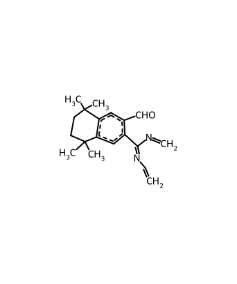 C=C/N=C(\N=C)c1cc2c(cc1C=O)C(C)(C)CCC2(C)C